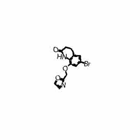 O=C1CCc2cc(Br)cc(OCc3ncco3)c2N1